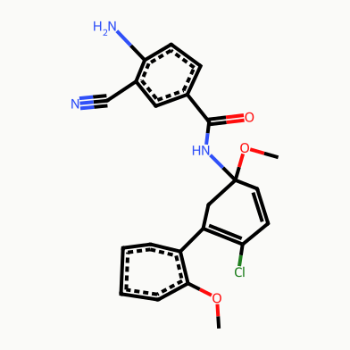 COc1ccccc1C1=C(Cl)C=CC(NC(=O)c2ccc(N)c(C#N)c2)(OC)C1